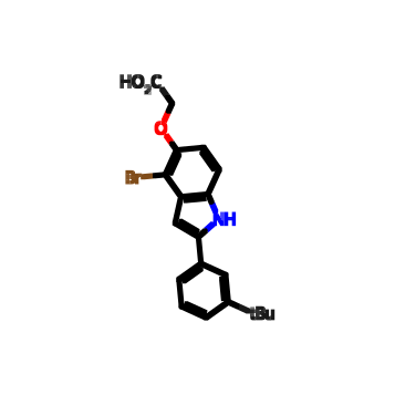 CC(C)(C)c1cccc(-c2cc3c(Br)c(OCC(=O)O)ccc3[nH]2)c1